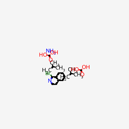 Brc1nccc2ccccc12.C=C(C)C.C=C(C)C.N.O=C(O)O.O=C(O)O